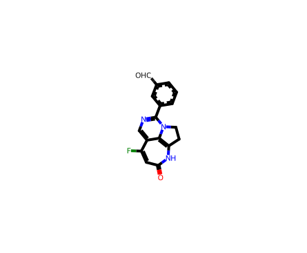 O=Cc1cccc(C2=NC=C3C(F)=CC(=O)NC4=C3N2CC4)c1